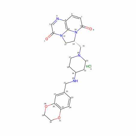 Cl.O=c1cnc2ccc(=O)n3c2n1C[C@H]3CN1CCC(NCc2ccc3c(c2)OCCO3)CC1